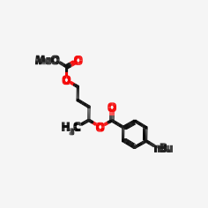 CCCCc1ccc(C(=O)OC(C)CCCOC(=O)OC)cc1